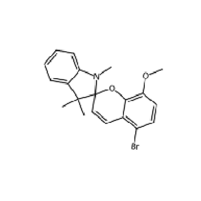 COc1ccc(Br)c2c1OC1(C=C2)N(C)c2ccccc2C1(C)C